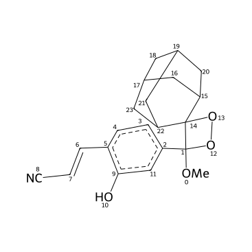 COC1(c2ccc(/C=C/C#N)c(O)c2)OOC12C1CC3CC(C1)CC2C3